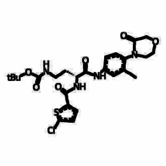 Cc1cc(NC(=O)[C@@H](CCNC(=O)OC(C)(C)C)NC(=O)c2ccc(Cl)s2)ccc1N1CCOCC1=O